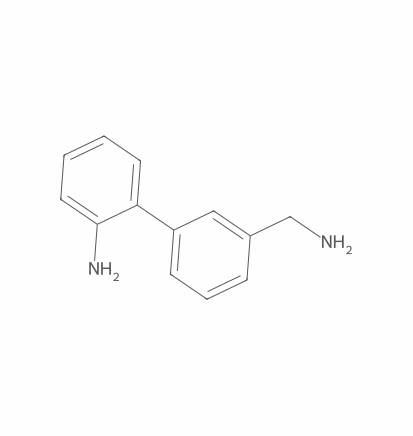 NCc1cccc(-c2ccccc2N)c1